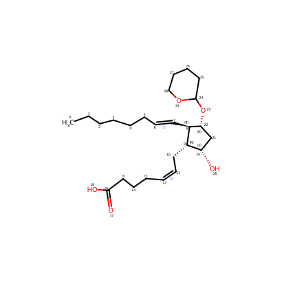 CCCCCC/C=C/[C@@H]1[C@@H](C/C=C\CCCC(=O)O)[C@@H](O)C[C@H]1OC1CCCCO1